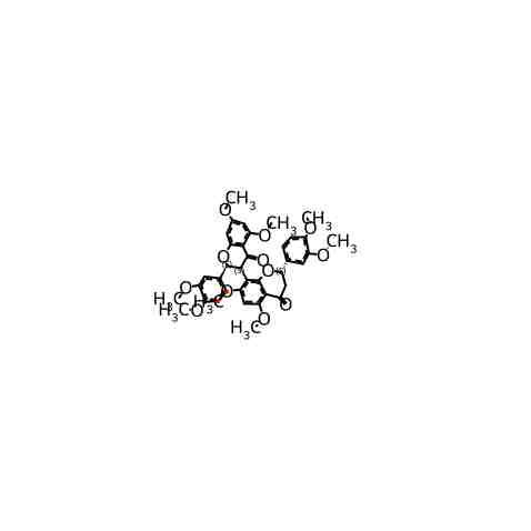 COc1cc(OC)c2c(c1)O[C@H](c1ccc(OC)c(OC)c1)[C@H](c1c(OC)cc(OC)c3c1O[C@H](c1ccc(OC)c(OC)c1)CC3=O)C2=O